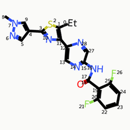 CCc1sc(-c2cnn(C)c2)nc1-c1cnc(NC(=O)c2c(F)cccc2F)cn1